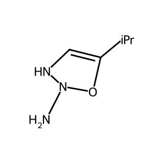 CC(C)C1=CNN(N)O1